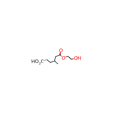 CC(CCC(=O)O)CC(=O)OCCO